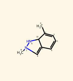 CC1=CC=CC2=CN(C)NC12